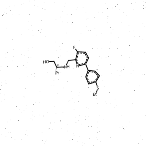 CCSc1ccc(-c2ccc(F)c(CN[C@@H](CO)C(C)C)n2)cc1